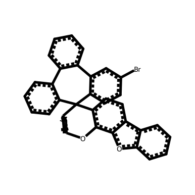 Brc1ccc2c(c1)-c1ccccc1-c1ccccc1C21c2ccccc2Oc2c1ccc1c2oc2ccccc21